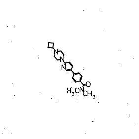 CN(C)C(=O)c1ccc(-c2ccc(N3CCN(C4CCC4)CC3)nc2)cc1